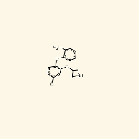 Cc1ccccc1Oc1ccc(Cl)cc1OC1CNC1